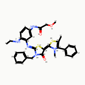 CCNc1ccc(NC(=O)COC)cc1N=C1SC(=C2SC(C)=C(c3ccccc3)N2C)C(=O)N1Cc1ccccc1